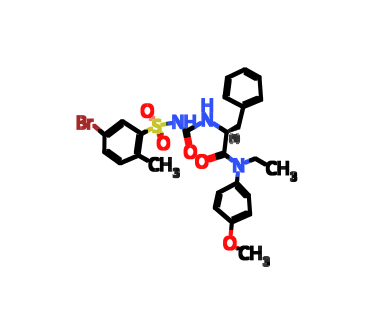 CCN(C(=O)[C@H](Cc1ccccc1)NC(=O)NS(=O)(=O)c1cc(Br)ccc1C)c1ccc(OC)cc1